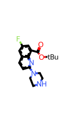 CC(C)(C)OC(=O)c1cc(F)cc2ccc(N3CCNCC3)nc12